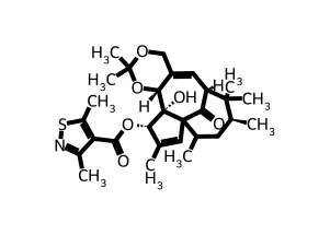 CC1=CC23C(=O)[C@@H](C=C4COC(C)(C)O[C@H]4[C@]2(O)[C@H]1OC(=O)c1c(C)nsc1C)C(C)(C)[C@@H](C)CC3C